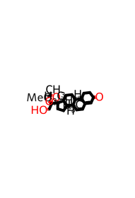 COC(C)O[C@]1(C(=O)CO)CC[C@H]2[C@@H]3CCC4=CC(=O)CC[C@]4(C)[C@H]3CC[C@@]21C